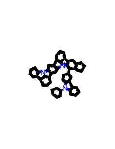 c1ccc(-n2c3ccccc3c3cc(-c4c5ccccc5cc5c6cccc7c8cc9c(cc8n(c45)c76)c4cccc5c6ccccc6n9c54)ccc32)cc1